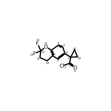 O=C(Cl)C1(c2ccc3c(c2)CCC(F)(F)O3)CC1